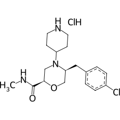 CNC(=O)[C@H]1CN(C2CCNCC2)[C@@H](Cc2ccc(Cl)cc2)CO1.Cl